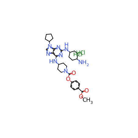 COC(=O)c1ccc(OC(=O)N2CCC(Nc3nc(NC4CCC(N)CC4)nc4c3ncn4C3CCCC3)CC2)cc1.Cl.Cl